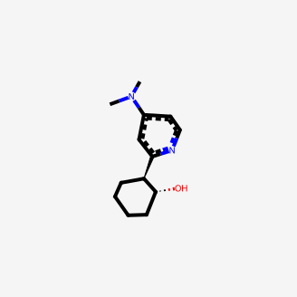 CN(C)c1ccnc([C@@H]2CCCC[C@H]2O)c1